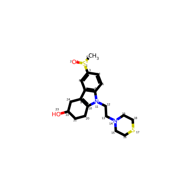 C[S+]([O-])c1ccc2c(c1)c1c(n2CCN2CCSCC2)CCC(O)C1